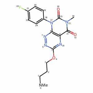 CNCCCOc1nnc2c(n1)c(=O)n(C)c(=O)n2-c1ccc(F)cc1